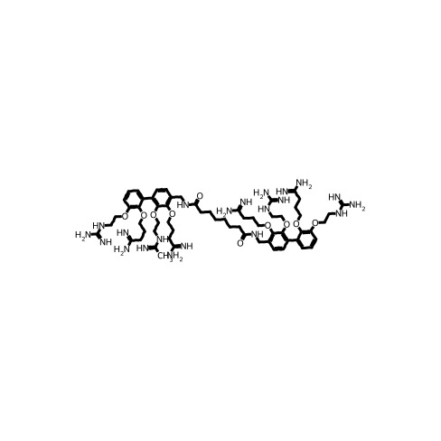 CC(=N)NCCOc1c(-c2cccc(OCCNC(=N)N)c2OCCCC(=N)N)ccc(CNC(=O)CCCCCCC(=O)NCc2ccc(-c3cccc(OCCNC(=N)N)c3OCCCC(=N)N)c(OCCNC(=N)N)c2OCCCC(=N)N)c1OCCCC(=N)N